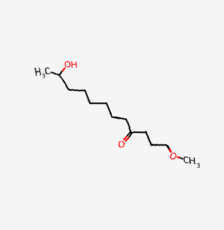 COCCCC(=O)CCCCCCC(C)O